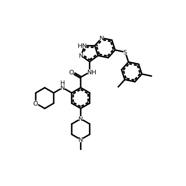 Cc1cc(C)cc(Sc2cnc3[nH]nc(NC(=O)c4ccc(N5CCN(C)CC5)cc4NC4CCOCC4)c3c2)c1